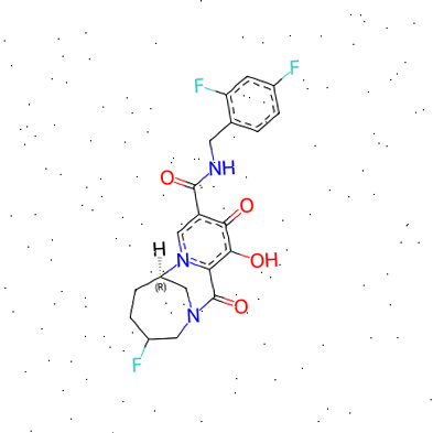 O=C(NCc1ccc(F)cc1F)c1cn2c(c(O)c1=O)C(=O)N1CC(F)CC[C@@H]2C1